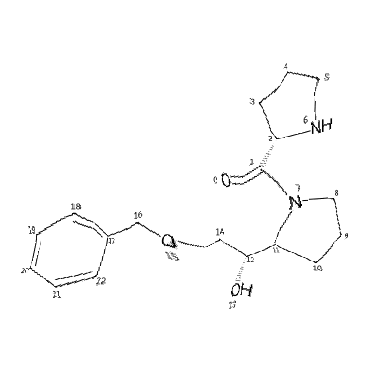 O=C([C@@H]1CCCN1)N1CCCC1[C@H](O)COCc1ccccc1